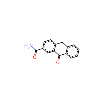 NC(=O)c1ccc2c(c1)C(=O)c1ccccc1C2